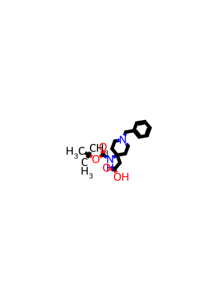 CC(C)(C)OC(=O)NC1(CC(=O)O)CCN(Cc2ccccc2)CC1